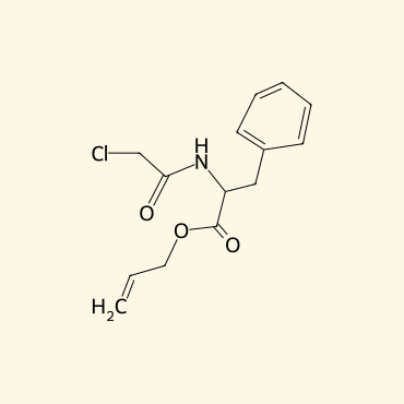 C=CCOC(=O)C(Cc1ccccc1)NC(=O)CCl